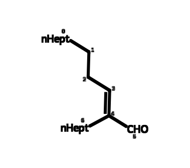 CCCCCCCCCC=C(C=O)CCCCCCC